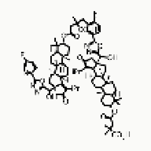 CC(C)C1=C2[C@H]3CCC4[C@@]5(C)CC[C@H](OC(=O)CC(C)(C)C(=O)O)C(C)(C)[C@@H]5CC[C@@]4(C)[C@]3(C)CC[C@@]2(C(O)c2nnc(-c3ccc(F)c(CC(C)(CC(=O)O[C@H]4CC[C@]5(C)[C@H]6CC[C@@H]7C8=C(C(C)C)C(=O)C[C@]8([C@@H](O)c8nnc(-c9ccc(F)cn9)o8)CC[C@@]7(C)[C@]6(C)CC[C@H]5C4(C)C)C(=O)O)c3)o2)CC1=O